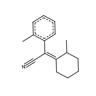 Cc1ccccc1C(C#N)=C1CCCCC1C